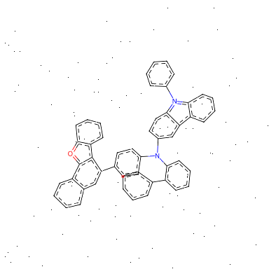 c1ccc(-c2ccccc2N(c2ccc(-c3cc4ccccc4c4oc5ccccc5c34)cc2)c2ccc3c(c2)c2ccccc2n3-c2ccccc2)cc1